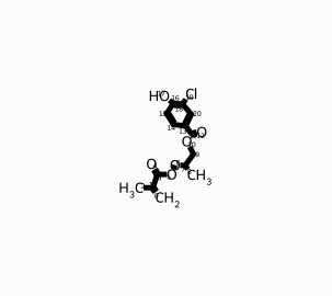 C=C(C)C(=O)OOC(C)COC(=O)c1ccc(O)c(Cl)c1